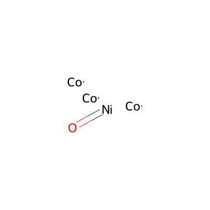 [Co].[Co].[Co].[O]=[Ni]